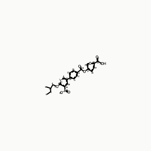 CCC(C)COc1ccc(-c2ccc(C(=O)Oc3ccc(C(=O)O)cc3)cc2)cc1[N+](=O)[O-]